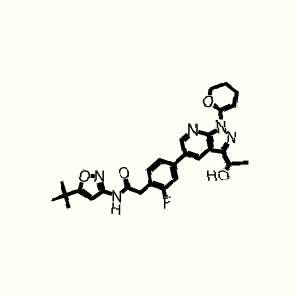 CC(O)c1nn(C2CCCCO2)c2ncc(-c3ccc(CC(=O)Nc4cc(C(C)(C)C)on4)c(F)c3)cc12